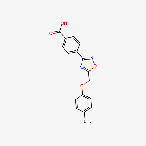 Cc1ccc(OCc2nc(-c3ccc(C(=O)O)cc3)no2)cc1